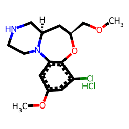 COC[C@@H]1C[C@@H]2CNCCN2c2cc(OC)cc(Cl)c2O1.Cl